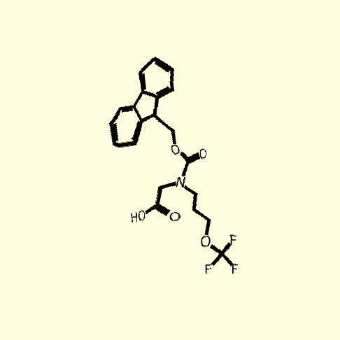 O=C(O)CN(CCCOC(F)(F)F)C(=O)OCC1c2ccccc2-c2ccccc21